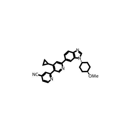 CO[C@H]1CC[C@H](n2cnc3ccc(-c4cc(C5CC5)c(-c5cc(C#N)ccn5)[c]n4)cc32)CC1